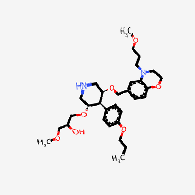 CCCOc1ccc([C@@H]2[C@@H](OCc3ccc4c(c3)N(CCCOC)CCO4)CNC[C@H]2OCC(O)COC)cc1